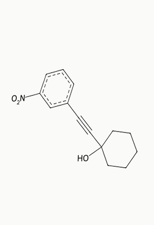 O=[N+]([O-])c1cccc(C#CC2(O)CCCCC2)c1